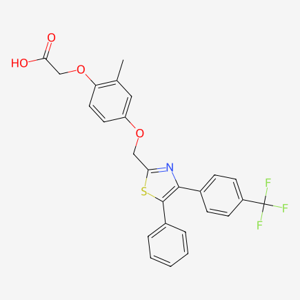 Cc1cc(OCc2nc(-c3ccc(C(F)(F)F)cc3)c(-c3ccccc3)s2)ccc1OCC(=O)O